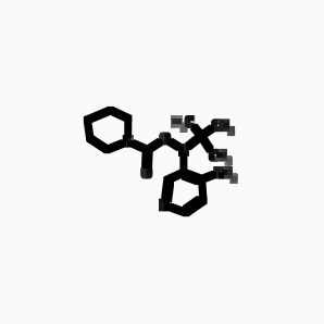 CC(C)(C)N(OC(=O)N1CCCCC1)c1cnccc1N